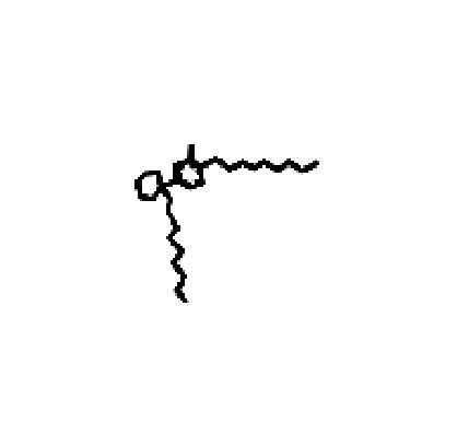 CCCCCCCCCc1ccc(C2(CCCCCCCCC)CCCCC2)cc1C